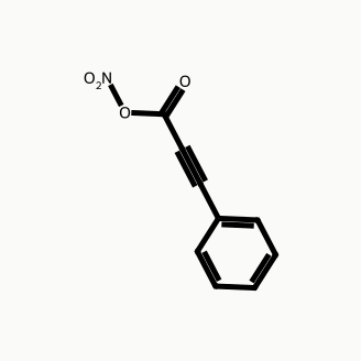 O=C(C#Cc1ccccc1)O[N+](=O)[O-]